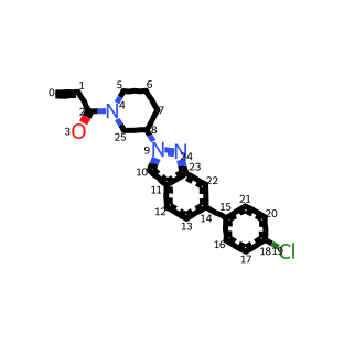 C=CC(=O)N1CCCC(n2cc3ccc(-c4ccc(Cl)cc4)cc3n2)C1